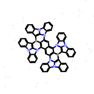 c1ccc2c(c1)c1c3n(c4ccccc4n23)-c2cc3c4c5c(cc3c3c2B1c1c2ccccc2n2c6ccccc6n-3c12)-n1c2ccccc2n2c3ccccc3c(c12)B5c1c2ccccc2n2c3ccccc3n-4c12